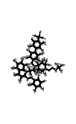 [2H]c1c([2H])c(F)c(F)c(CSc2c([2H])c(=O)c3c([2H])c([2H])c([2H])c([2H])c3n2C([2H])([2H])C(=O)N(Cc2c([2H])c([2H])c(-c3c([2H])c([2H])c(C(F)(F)F)c(C)c3[2H])c([2H])c2[2H])C2([2H])C([2H])([2H])C([2H])([2H])N(CCOC([2H])([2H])[2H])C([2H])([2H])C2([2H])[2H])c1[2H]